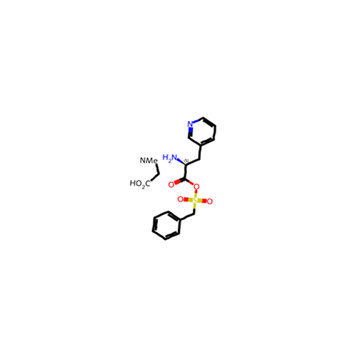 CNCC(=O)O.N[C@@H](Cc1cccnc1)C(=O)OS(=O)(=O)Cc1ccccc1